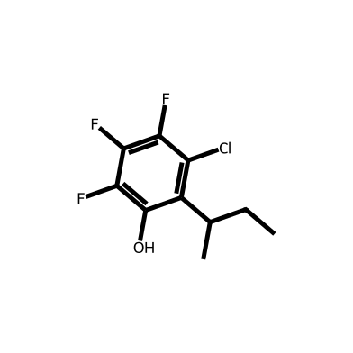 CCC(C)c1c(O)c(F)c(F)c(F)c1Cl